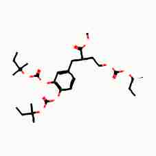 CC[C@H](C)OC(=O)OCC[C@@](N)(Cc1ccc(OC(=O)OC(C)(C)CC)c(OC(=O)OC(C)(C)CC)c1)C(=O)OC